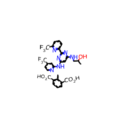 CC(O)CNc1cc(Nc2cc(C(F)(F)F)ccn2)nc(-c2cccc(C(F)(F)F)n2)n1.Cc1c(C(=O)O)cccc1C(=O)O